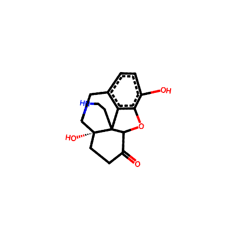 O=C1CC[C@@]2(O)C3Cc4ccc(O)c5c4C2(CCN3)C1O5